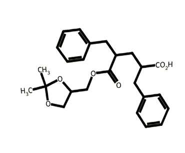 CC1(C)OCC(COC(=O)C(Cc2ccccc2)CC(Cc2ccccc2)C(=O)O)O1